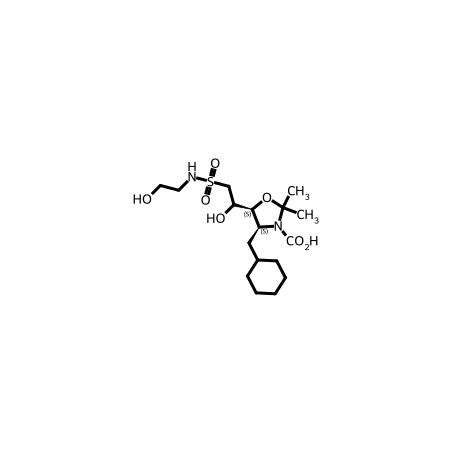 CC1(C)O[C@H](C(O)CS(=O)(=O)NCCO)[C@H](CC2CCCCC2)N1C(=O)O